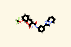 O=C(Nc1cccc(-c2cn3ccccc3n2)c1)c1cc2cccc(OC(F)(F)F)c2oc1=O